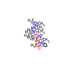 CC[C@H](C)[C@@H]([C@@H](CC(=O)N1CCC[C@H]1[C@H](OC)[C@@H](C)C(=O)N[C@@H](Cc1ccccc1)C(=O)OC)OC)N(C)C(=O)[C@@H](Nc1nc(C)cc(C)n1)C(C)C